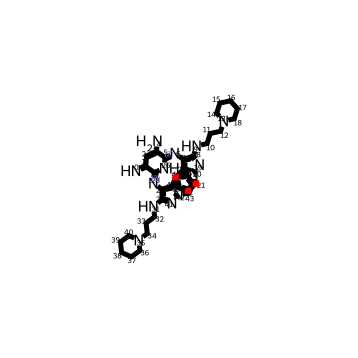 N=C1C=C(N)/C(=N/c2c(NCCCN3CCCCC3)nn3ccccc23)N/C1=N\c1c(NCCCN2CCCCC2)nn2ccccc12